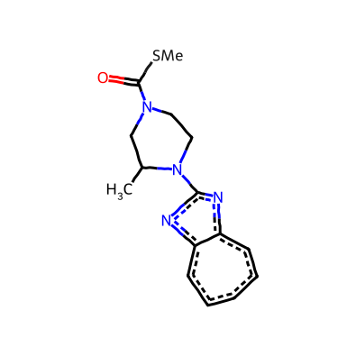 CSC(=O)N1CCN(c2nc3cccccc-3n2)C(C)C1